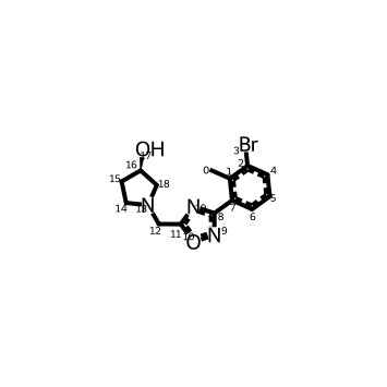 Cc1c(Br)cccc1-c1noc(CN2CC[C@@H](O)C2)n1